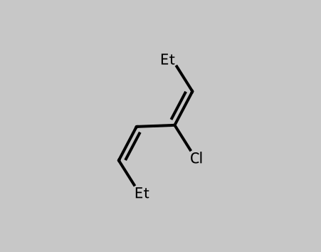 CC/C=C\C(Cl)=C/CC